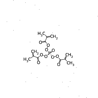 C=C(C)C(=O)OOP(=O)(OOC(=O)C(=C)C)OOC(=O)C(=C)C